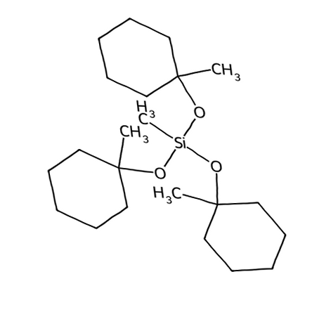 CC1(O[Si](C)(OC2(C)CCCCC2)OC2(C)CCCCC2)CCCCC1